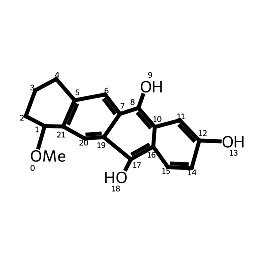 COC1CCCc2cc3c(O)c4cc(O)ccc4c(O)c3cc21